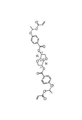 C=CC(=O)OC(C)Oc1ccc(C(=O)O[C@H]2CO[C@@H]3[C@H]2OC[C@@H]3OC(=O)c2ccc(OC(C)OC(=O)C=C)cc2)cc1